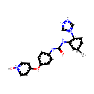 O=C(Nc1ccc(Oc2cc[n+]([O-])cc2)cc1)Nc1cc(C(F)(F)F)ccc1-n1cnnc1